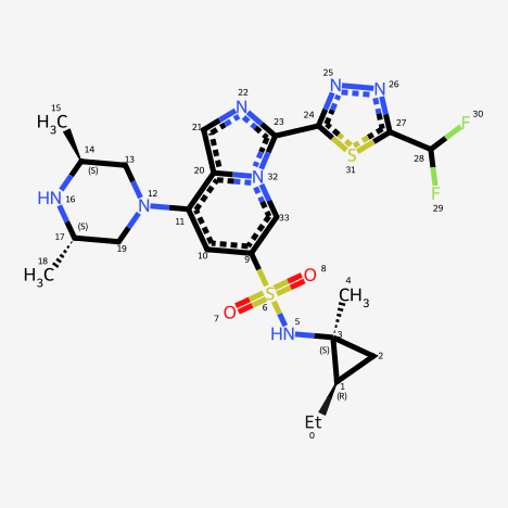 CC[C@@H]1C[C@]1(C)NS(=O)(=O)c1cc(N2C[C@H](C)N[C@@H](C)C2)c2cnc(-c3nnc(C(F)F)s3)n2c1